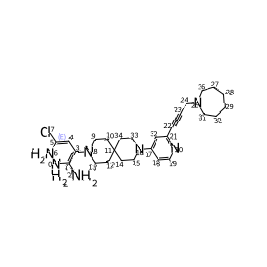 NC(N)=C(/C=C(\N)Cl)N1CCC2(CC1)CCN(c1ccnc(C#CCN3CCCCCC3)c1)CC2